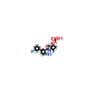 O=C(O)COc1ccc(F)c(NC(=O)c2cc(-c3cccc(F)c3)ccc2F)c1F